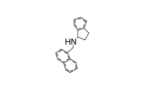 c1ccc2c(c1)CC[C@@H]2NCc1cccc2ccccc12